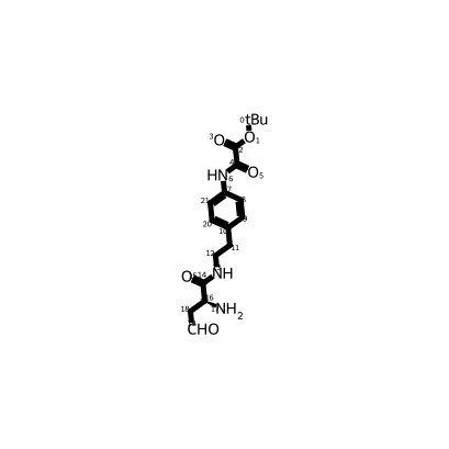 CC(C)(C)OC(=O)C(=O)Nc1ccc(CCNC(=O)[C@@H](N)CC=O)cc1